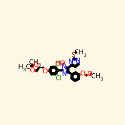 COCOc1cccc(-c2nc(-c3c(Cl)cc(OC[C@H]4COC(C)(C)O4)cc3Cl)n(O)c2-c2ccnc(SC)n2)c1